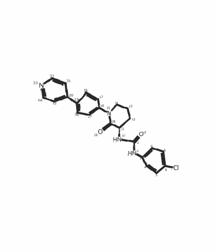 O=C(Nc1ccc(Cl)cc1)N[C@@H]1CCCN(c2ccc(-c3ccncc3)cc2)C1=O